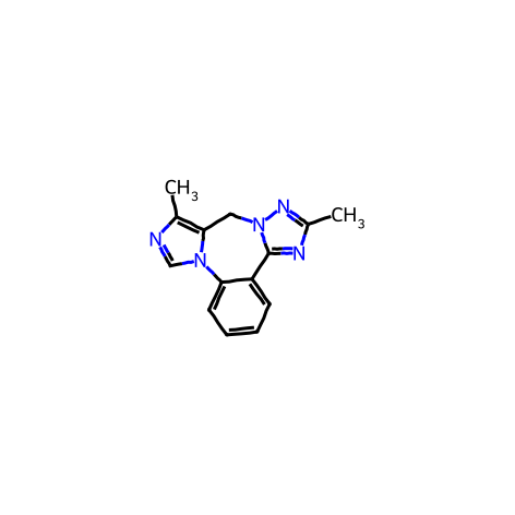 Cc1nc2n(n1)Cc1c(C)ncn1-c1ccccc1-2